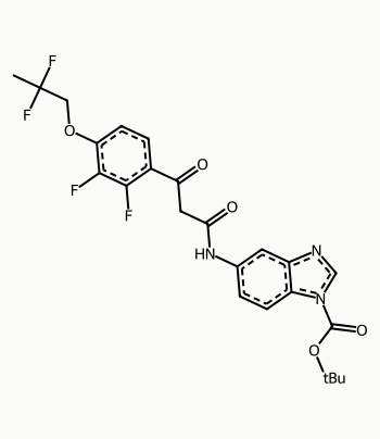 CC(F)(F)COc1ccc(C(=O)CC(=O)Nc2ccc3c(c2)ncn3C(=O)OC(C)(C)C)c(F)c1F